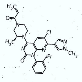 C=CC(=O)N1CCN(c2nc(=O)n(-c3ccccc3C(C)C)c3nc(-c4cnn(C)c4)c(Cl)cc23)[C@@H](C)C1